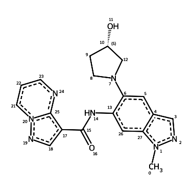 Cn1ncc2cc(N3CC[C@H](O)C3)c(NC(=O)c3cnn4cccnc34)cc21